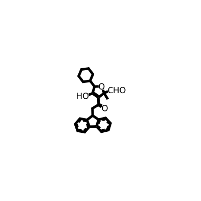 CC1(C=O)OC(C2CCCCC2)C(O)=C1C(=O)CC1c2ccccc2-c2ccccc21